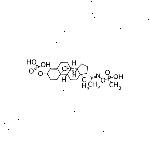 C/C(=N\OP(C)(=O)O)[C@H]1CC[C@H]2[C@@H]3CCC4=C[C@@H](OP(=O)(O)O)CC[C@]4(C)[C@H]3CC[C@]12C